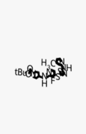 Cc1ccnc(Nc2ncc(Sc3ccnc(CNCC4CCN(C(=O)OC(C)(C)C)CC4)c3F)s2)c1